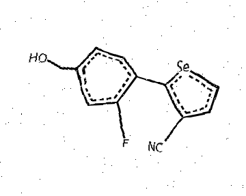 N#Cc1cc[se]c1-c1ccc(O)cc1F